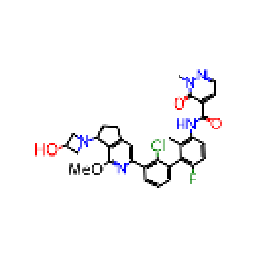 COc1nc(-c2cccc(-c3c(F)ccc(NC(=O)c4ccnn(C)c4=O)c3C)c2Cl)cc2c1C(N1CC(O)C1)CC2